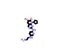 CC(=O)c1cc2cnc(Nc3ccc(NCCN)cn3)nc2n(C2CCCC2)c1=O